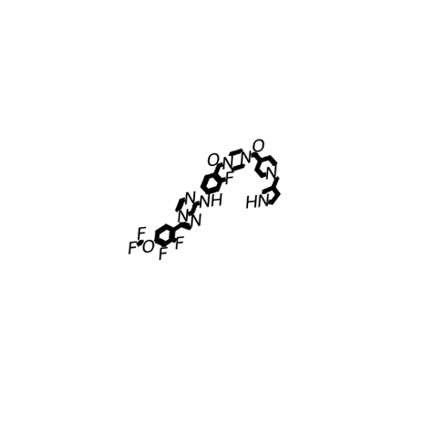 O=C(c1ccc(Nc2nccn3c(-c4ccc(OC(F)F)c(F)c4F)cnc23)cc1F)N1CCN(C(=O)C2CCN(CC3CCNC3)CC2)CC1